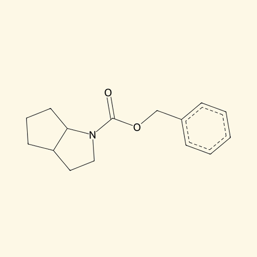 O=C(OCc1ccccc1)N1CCC2CCCC21